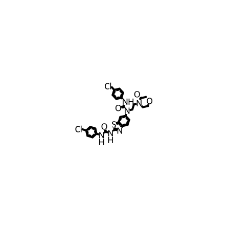 O=C(Nc1ccc(Cl)cc1)Nc1nc2ccc(N(CCN3CCOCC3=O)C(=O)Nc3ccc(Cl)cc3)cc2s1